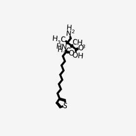 CC(CN)(NC(=O)CCCCCCCCCc1ccsc1)C(C)(C)C(=O)O